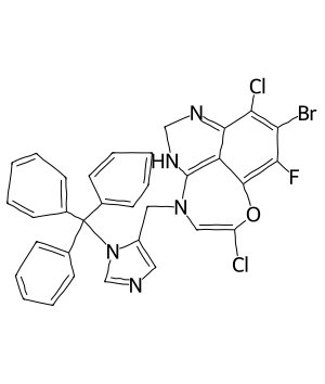 Fc1c(Br)c(Cl)c2c3c1OC(Cl)=CN(Cc1cncn1C(c1ccccc1)(c1ccccc1)c1ccccc1)C=3NCN=2